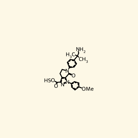 COc1ccc(-n2nc(C(=O)OS)c3c2C(=O)N(c2ccc(C(C)(C)CN)cc2)CC3)cc1